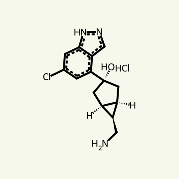 Cl.NC[C@H]1[C@H]2C[C@@](O)(c3cc(Cl)cc4[nH]ncc34)C[C@@H]12